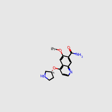 CC(C)Oc1cc2c(O[C@@H]3CCNC3)ccnc2cc1C(N)=O